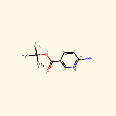 CC(C)(C)OC(=O)c1ccc(N)nc1